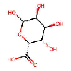 O=C(O)[C@@H]1OC(O)[C@@H](O)[C@@H](O)[C@@H]1O